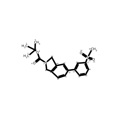 CC(C)(C)OC(=O)N1Cc2ccc(-c3cccc(S(C)(=O)=O)c3)cc2C1